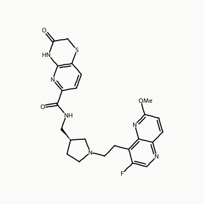 COc1ccc2ncc(F)c(CCN3CC[C@@H](CNC(=O)c4ccc5c(n4)NC(=O)CS5)C3)c2n1